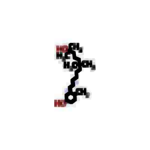 C=C1CC[C@H](O)C/C1=C/C=C/CCCC(C)(C)CCCC(C)(C)O